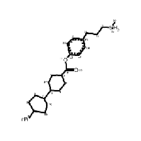 CCCC1CCC(C2CCC(C(=O)Oc3ccc(CCC[SiH2]C)cc3)CC2)CC1